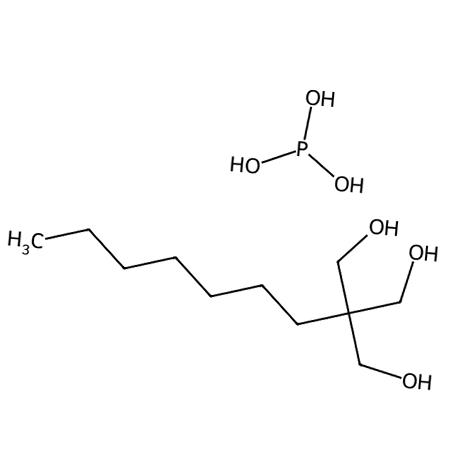 CCCCCCCC(CO)(CO)CO.OP(O)O